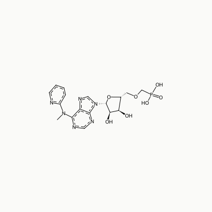 CN(c1ccccn1)c1ncnc2c1ncn2[C@@H]1O[C@H](COCP(=O)(O)O)[C@@H](O)[C@H]1O